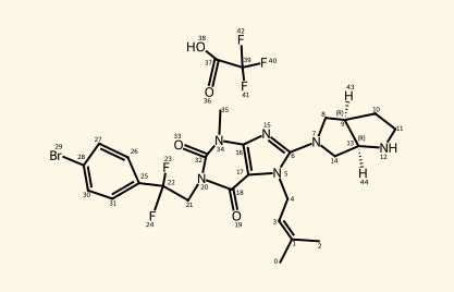 CC(C)=CCn1c(N2C[C@H]3CCN[C@H]3C2)nc2c1c(=O)n(CC(F)(F)c1ccc(Br)cc1)c(=O)n2C.O=C(O)C(F)(F)F